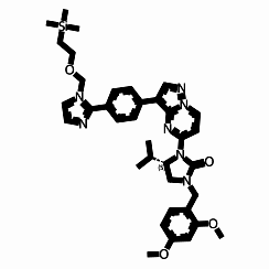 COc1ccc(CN2C[C@H](C(C)C)N(c3ccn4ncc(-c5ccc(-c6nccn6COCC[Si](C)(C)C)cc5)c4n3)C2=O)c(OC)c1